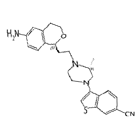 C[C@@H]1CN(c2csc3cc(C#N)ccc23)CCN1CC[C@@H]1OCCc2cc(N)ccc21